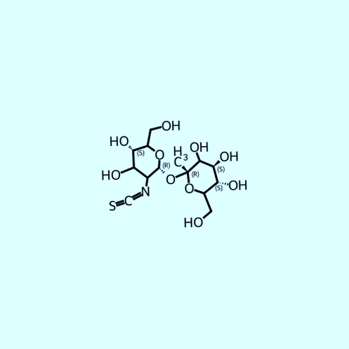 C[C@]1(O[C@H]2OC(CO)[C@@H](O)C(O)C2N=C=S)OC(CO)[C@@H](O)[C@H](O)C1O